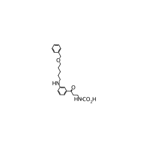 O=C(O)NCCC(=O)c1cccc(NCCCCCOCc2ccccc2)c1